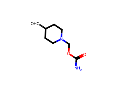 NC(=O)OCN1CCC(C=O)CC1